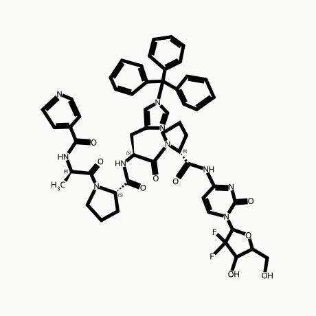 C[C@@H](NC(=O)c1ccncc1)C(=O)N1CCC[C@H]1C(=O)N[C@@H](Cc1cn(C(c2ccccc2)(c2ccccc2)c2ccccc2)cn1)C(=O)N1CCC[C@@H]1C(=O)Nc1ccn(C2OC(CO)C(O)C2(F)F)c(=O)n1